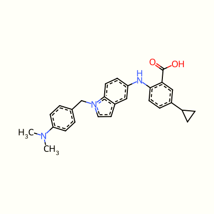 CN(C)c1ccc(Cn2ccc3cc(Nc4ccc(C5CC5)cc4C(=O)O)ccc32)cc1